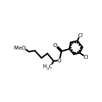 COCCCCC(C)OC(=O)c1cc(Cl)cc(Cl)c1